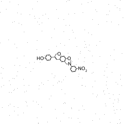 O=[N+]([O-])c1cccc(N2COc3cc4c(cc3C2)C=C(c2ccc(O)cc2)CO4)c1